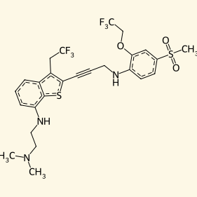 CN(C)CCNc1cccc2c(CC(F)(F)F)c(C#CCNc3ccc(S(C)(=O)=O)cc3OCC(F)(F)F)sc12